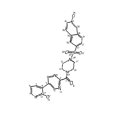 O=C(c1ncc(-c2cccc[n+]2[O-])cn1)N1CCN(S(=O)(=O)c2ccc3cc(Cl)ccc3c2)CC1